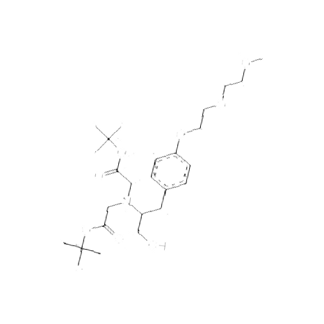 COCCOCCOc1ccc(CC(CO)N(CC(=O)OC(C)(C)C)CC(=O)OC(C)(C)C)cc1